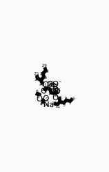 C=COC(C)=O.CCCCC(CC)COC(=O)CC(C(=O)OCC(CC)CCCC)S(=O)(=O)[O-].[Na+]